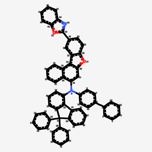 c1ccc(-c2ccc(N(c3cccc4c3-c3ccccc3C4(c3ccccc3)c3ccccc3)c3cc4oc5ccc(-c6nc7ccccc7o6)cc5c4c4ccccc34)cc2)cc1